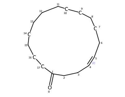 O=C1CC/C=C\CCCCCCCCCCCC1